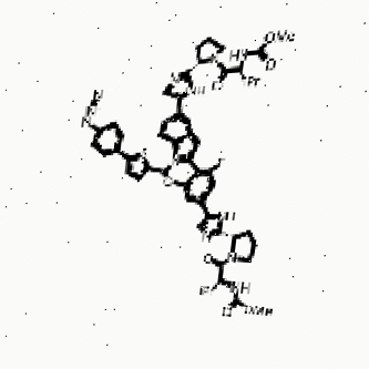 COC(=O)N[C@H](C(=O)N1CCC[C@H]1c1ncc(-c2cc(F)c3c(c2)OC(c2ccc(-c4ccc(N=[N+]=[N-])cc4)s2)n2c-3cc3cc(-c4cnc([C@@H]5CCCN5C(=O)[C@@H](NC(=O)OC)C(C)C)[nH]4)ccc32)[nH]1)C(C)C